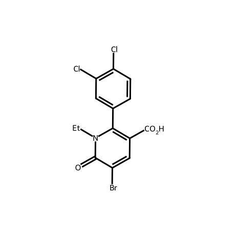 CCn1c(-c2ccc(Cl)c(Cl)c2)c(C(=O)O)cc(Br)c1=O